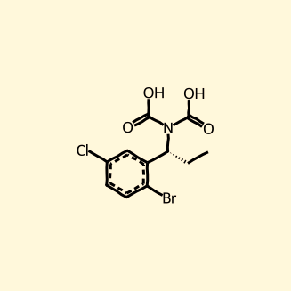 CC[C@H](c1cc(Cl)ccc1Br)N(C(=O)O)C(=O)O